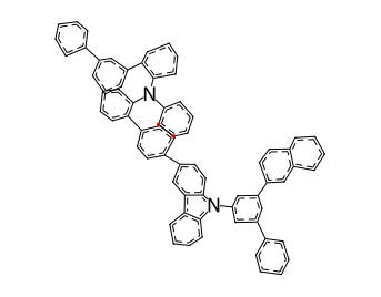 c1ccc(-c2cccc(-c3ccccc3N(c3ccccc3)c3ccccc3-c3ccc(-c4ccc5c(c4)c4ccccc4n5-c4cc(-c5ccccc5)cc(-c5ccc6ccccc6c5)c4)cc3)c2)cc1